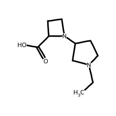 CCN1CCC(N2CCC2C(=O)O)C1